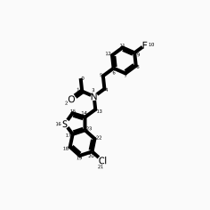 CC(=O)N(CCc1ccc(F)cc1)Cc1csc2ccc(Cl)cc12